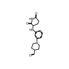 O=CC1CCN(c2cccc(NC3CCC(=O)NC3=O)c2)CC1